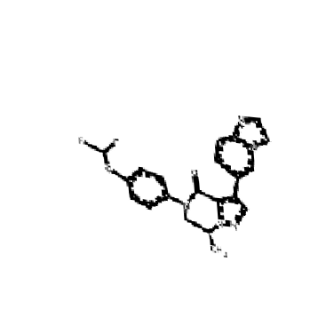 C[C@H]1CN(c2ccc(OC(F)F)cc2)C(=O)c2c(-c3ccc4nccn4c3)cnn21